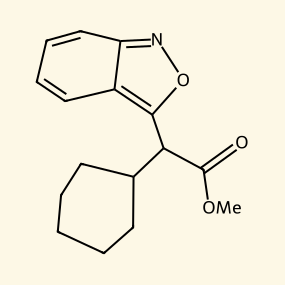 COC(=O)C(c1onc2ccccc12)C1CCCCC1